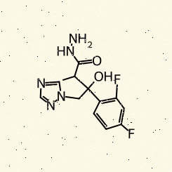 CC(C(=O)NN)C(O)(Cn1cncn1)c1ccc(F)cc1F